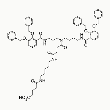 O=C(O)CCCC(=O)NCCCCCNC(=O)CCC(=O)N(CCCCNC(=O)c1cccc(OCc2ccccc2)c1OCc1ccccc1)CCCNC(=O)c1cccc(OCc2ccccc2)c1OCc1ccccc1